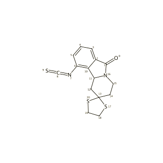 O=C1c2cccc(N=C=S)c2C2CC3(CCN12)SCCS3